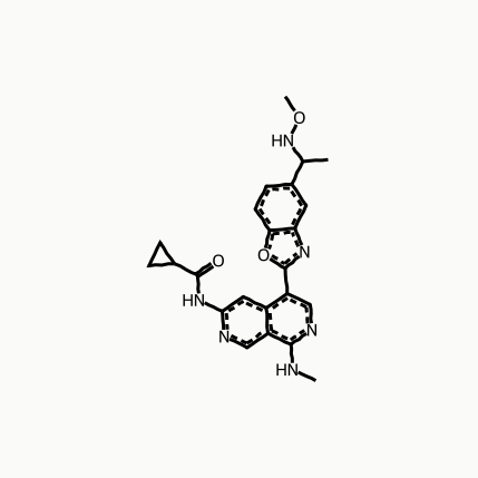 CNc1ncc(-c2nc3cc(C(C)NOC)ccc3o2)c2cc(NC(=O)C3CC3)ncc12